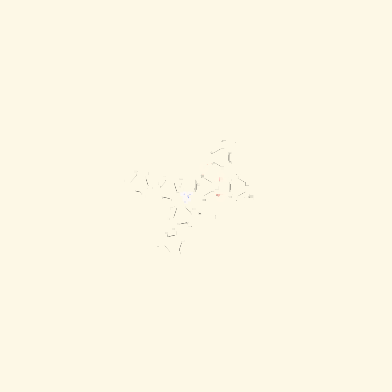 Cc1ccc2c(c1)Oc1cc(-n3c4c(C)cc(-c5ccccc5)cc4c4cc(-c5ccccc5)cc(C)c43)cc3c1B2c1ccc(C)cc1O3